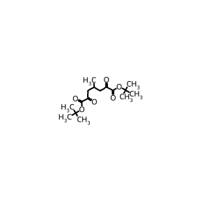 CC(CC(=O)C(=O)OC(C)(C)C)CC(=O)C(=O)OC(C)(C)C